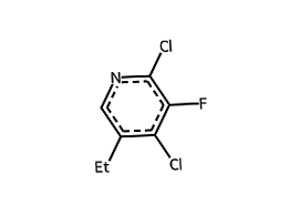 CCc1cnc(Cl)c(F)c1Cl